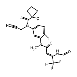 C#CCN1C(=O)C2(CCC2)Oc2cc(F)c(N(C)C(=O)/C=C(\NC=O)C(F)(F)F)cc21